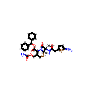 CO[C@@]1(NC(=O)Cc2ccc(N)s2)C(=O)N2C(C(=O)OC(c3ccccc3)c3ccccc3)=C(COC(N)=O)CS[C@@H]21